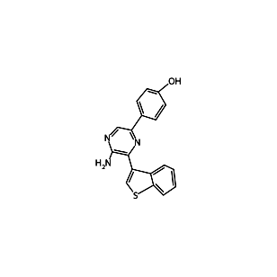 Nc1ncc(-c2ccc(O)cc2)nc1-c1csc2ccccc12